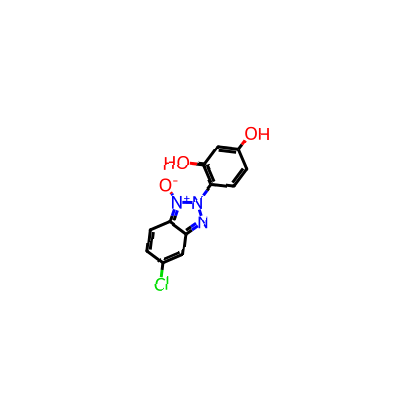 [O-][n+]1c2ccc(Cl)cc2nn1-c1ccc(O)cc1O